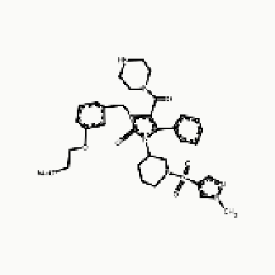 COCCOc1cccc(Cn2c(C(=O)N3CCNCC3)c(-c3ccccc3)n(C3CCCN(S(=O)(=O)c4cnn(C)c4)C3)c2=O)c1